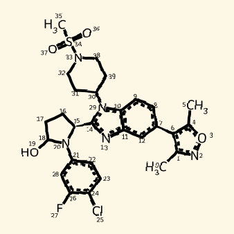 Cc1noc(C)c1-c1ccc2c(c1)nc([C@@H]1CCC(O)N1c1ccc(Cl)c(F)c1)n2C1CCN(S(C)(=O)=O)CC1